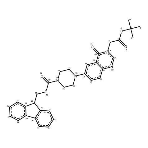 CC(C)(C)OC(=O)Cn1cnc2ccc(N3CCN(C(=O)OCC4c5ccccc5-c5ccccc54)CC3)cc2c1=O